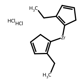 CCC1=[C]([Zr][C]2=C(CC)C=CC2)CC=C1.Cl.Cl